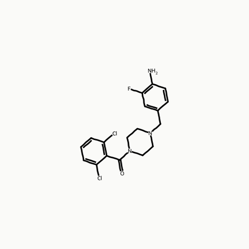 Nc1ccc(CN2CCN(C(=O)c3c(Cl)cccc3Cl)CC2)cc1F